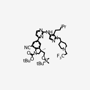 CC(C)CCc1c(Nc2nccc(-c3cc(C#N)c4c(c3)[C@@](C)(CO[Si](C)(C)C(C)(C)C)CN4C(=O)OC(C)(C)C)n2)cnn1CC1CCN(CC(F)(F)F)CC1